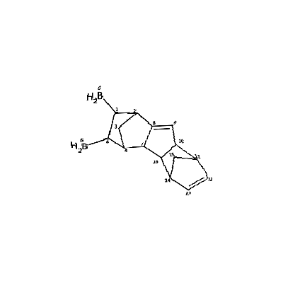 BC1C2CC(C1B)C1C2=CC2C3C=CC(C3)C21